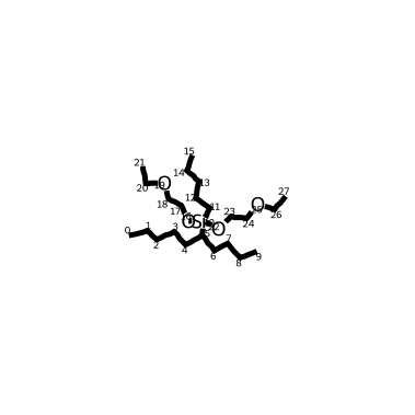 CCCCCC(CCCC)[Si](CCCCC)(OCCOCC)OCCOCC